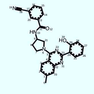 Cc1ccc2c(N3CCC(NC(=O)c4cccc(C#N)c4)C3)nc(-c3ccccc3O)nc2c1